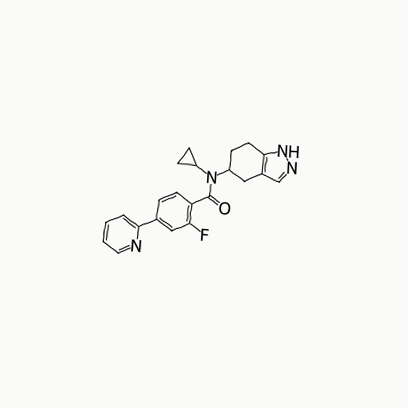 O=C(c1ccc(-c2ccccn2)cc1F)N(C1CC1)C1CCc2[nH]ncc2C1